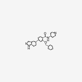 O=C(Nc1ccncc1)c1ccc(-c2ccc3[nH]ncc3c2)cc1OCc1ccccc1